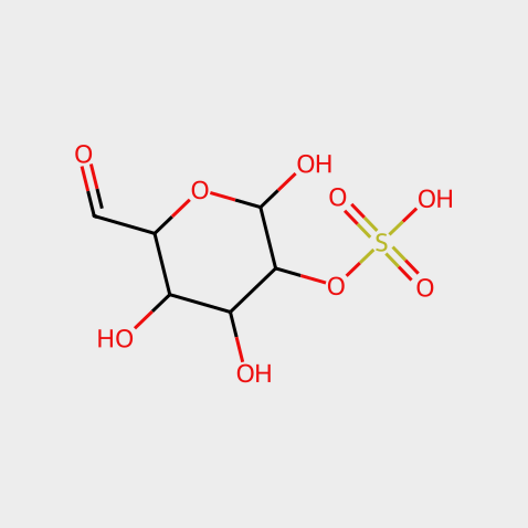 O=CC1OC(O)C(OS(=O)(=O)O)C(O)C1O